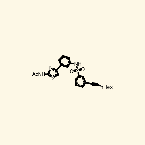 CCCCCCC#Cc1cccc(S(=O)(=O)Nc2cccc(-c3csc(NC(C)=O)n3)c2)c1